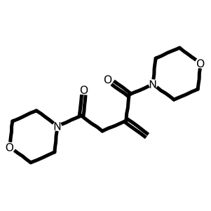 C=C(CC(=O)N1CCOCC1)C(=O)N1CCOCC1